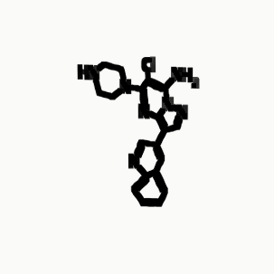 Nc1c(Cl)c(N2CCNCC2)nc2c(-c3cnc4ccccc4c3)cnn12